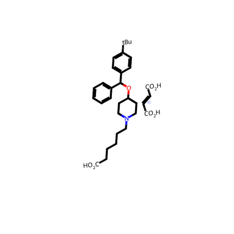 CC(C)(C)c1ccc(C(OC2CCN(CCCCCC(=O)O)CC2)c2ccccc2)cc1.O=C(O)/C=C/C(=O)O